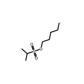 [CH2]CCCCOS(=O)(=O)C(C)C